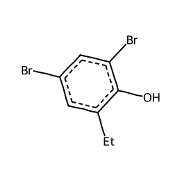 CCc1cc(Br)cc(Br)c1O